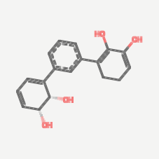 OC1=CCCC(c2cccc(C3=CC=C[C@@H](O)[C@H]3O)c2)=C1O